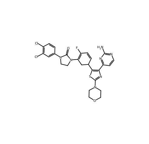 Nc1nccc(-c2nc(N3CCOCC3)sc2C2C=CC(F)=C(N3CCN(c4ccc(Cl)c(Cl)c4)C3=O)C2)n1